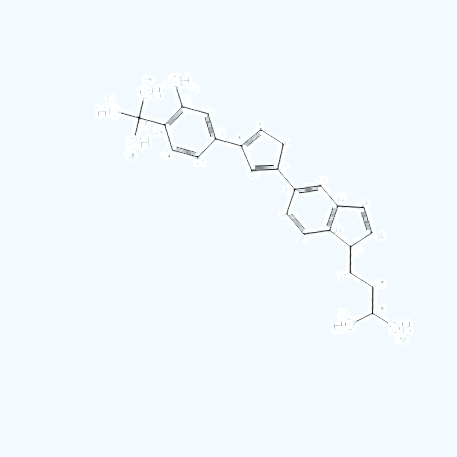 Cc1cc(C2=CCC(c3ccc4c(c3)C=CC4CCC(O)O)=C2)ccc1C(O)(O)O